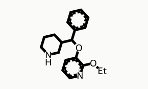 CCOc1ncccc1OC(c1ccccc1)C1CCCNC1